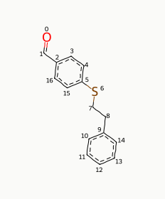 O=Cc1ccc(SCCc2ccccc2)cc1